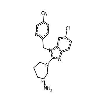 N#Cc1ccc(Cn2c(N3CCC[C@H](N)C3)nc3ccc(Cl)cc32)nc1